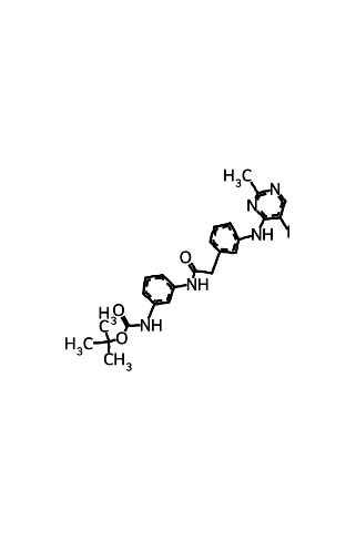 Cc1ncc(I)c(Nc2cccc(CC(=O)Nc3cccc(NC(=O)OC(C)(C)C)c3)c2)n1